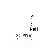 F.[NaH].[Si].[Si].[Si].[Si]